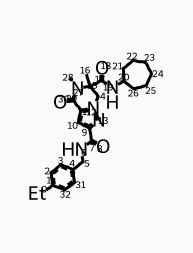 CCc1ccc(CNC(=O)c2cc3n(n2)CC(C)(C(=O)NC2CCCCCC2)N(C)C3=O)cc1